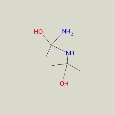 CC(C)(O)NC(C)(N)O